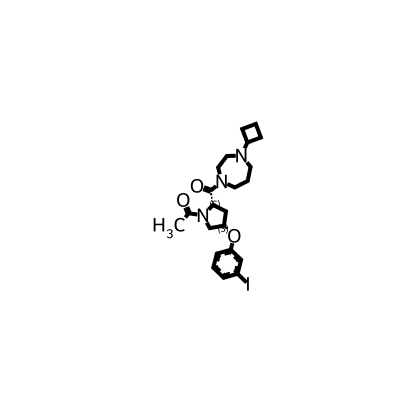 CC(=O)N1C[C@@H](Oc2cccc(I)c2)C[C@H]1C(=O)N1CCCN(C2CCC2)CC1